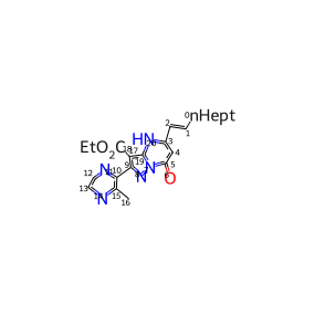 CCCCCCC/C=C/c1cc(=O)n2nc(-c3nccnc3C)c(C(=O)OCC)c2[nH]1